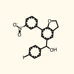 O=[N+]([O-])c1cccc(-c2cc(C(O)c3ccc(I)cc3)cc3c2OCC3)c1